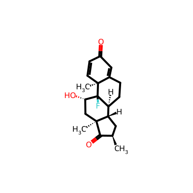 C[C@@H]1C[C@H]2[C@@H]3CCC4=CC(=O)C=C[C@]4(C)C3(F)[C@@H](O)C[C@]2(C)C1=O